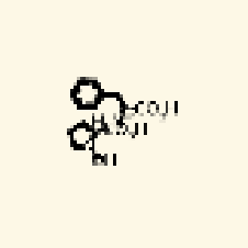 N[C@@H](Cc1ccccc1)C(=O)O.O=C(O)[C@@H]1CCCN1O